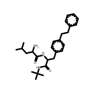 CC(C)CC(N)C(=O)NC(Cc1ccc(CCc2ccccc2)cc1)C(=O)NC(C)(C)C